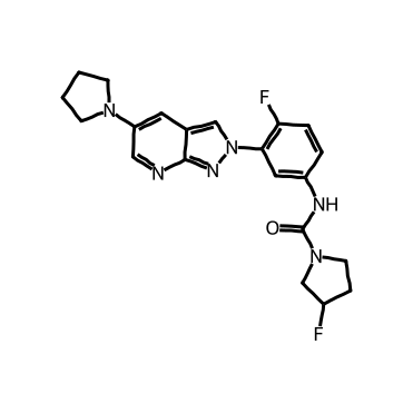 O=C(Nc1ccc(F)c(-n2cc3cc(N4CCCC4)cnc3n2)c1)N1CCC(F)C1